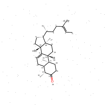 CC=C(CC[C@@H](C)[C@H]1CC[C@H]2C3=CCC4[C@@H](C)C(=O)CC[C@]4(C)[C@H]3CC[C@]12C)C(C)C